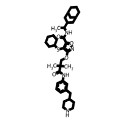 CC(NC(=O)c1onc(OCC(C)(C)C(=O)Nc2cccc(CC3CCNCC3)c2)c1SC1CCCCC1)C1CC2CCCC(C2)C1